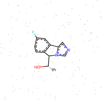 CC(C)[C@H](O)C1c2ccc(F)cc2-c2cncn21